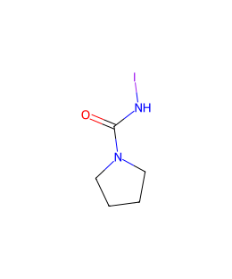 O=C(NI)N1CCCC1